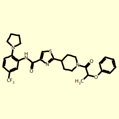 CC(Oc1ccccc1)C(=O)N1CCC(c2nc(C(=O)Nc3cc(C(F)(F)F)ccc3N3CCCC3)cs2)CC1